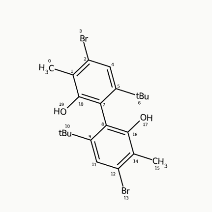 Cc1c(Br)cc(C(C)(C)C)c(-c2c(C(C)(C)C)cc(Br)c(C)c2O)c1O